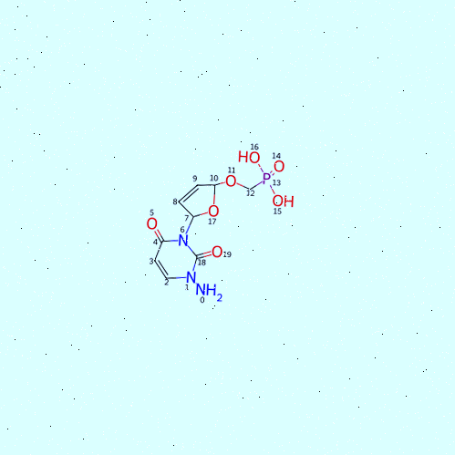 Nn1ccc(=O)n(C2C=CC(OCP(=O)(O)O)O2)c1=O